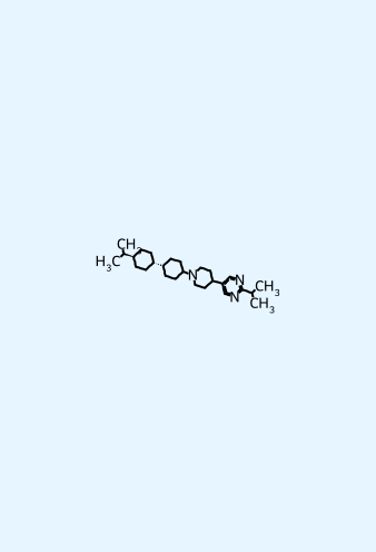 CC(C)c1ncc(C2CCN(C3CCC([C@H]4CC[C@H](C(C)C)CC4)CC3)CC2)cn1